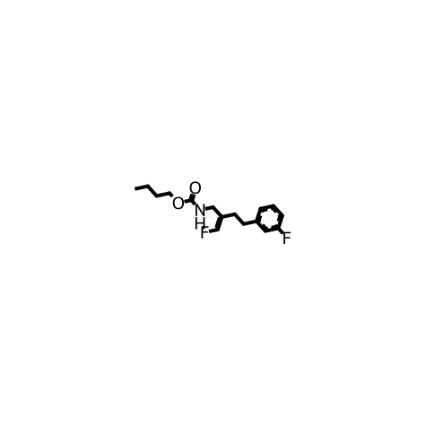 CCCCOC(=O)NCC(=CF)CCc1cccc(F)c1